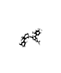 Cc1cc(C2CN(c3nc(-c4ccc(C(F)(F)F)cc4F)c4sc(N(C)C)nc4n3)CCC2(F)F)ccn1